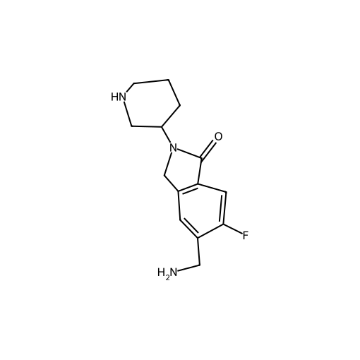 NCc1cc2c(cc1F)C(=O)N(C1CCCNC1)C2